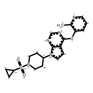 Cc1ncccc1Oc1ncnc2c1ccn2C1CCN(S(=O)(=O)C2CC2)CC1